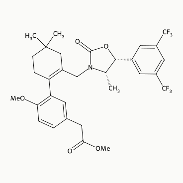 COC(=O)Cc1ccc(OC)c(C2=C(CN3C(=O)O[C@H](c4cc(C(F)(F)F)cc(C(F)(F)F)c4)[C@@H]3C)CC(C)(C)CC2)c1